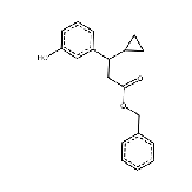 O=C(CC(c1cccc(O)c1)C1CC1)OCc1ccccc1